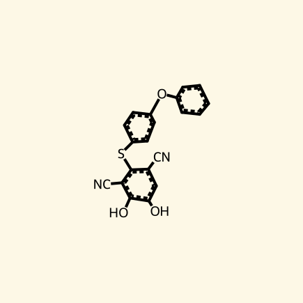 N#Cc1cc(O)c(O)c(C#N)c1Sc1ccc(Oc2ccccc2)cc1